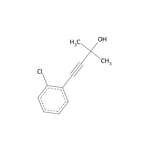 CC(C)(O)C#Cc1ccccc1Cl